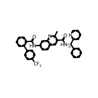 Cc1nc2cc(NC(=O)c3ccccc3-c3ccc(C(F)(F)F)cc3)ccc2cc1C(=O)N[C@@H](c1ccccc1)c1ccccn1